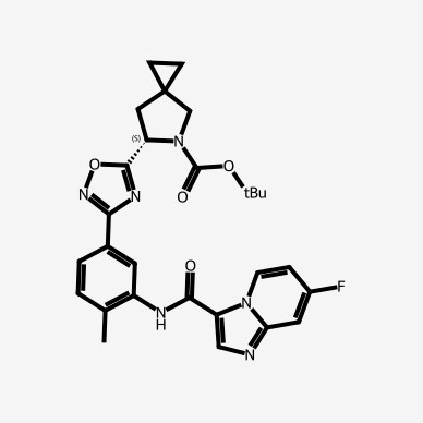 Cc1ccc(-c2noc([C@@H]3CC4(CC4)CN3C(=O)OC(C)(C)C)n2)cc1NC(=O)c1cnc2cc(F)ccn12